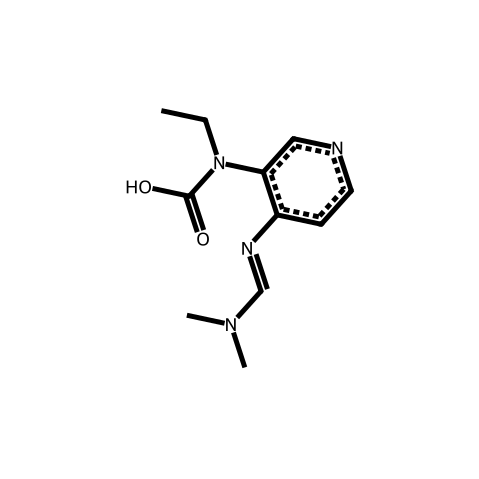 CCN(C(=O)O)c1cnccc1N=CN(C)C